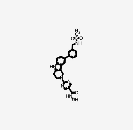 CS(=O)(=O)NCc1cccc(-c2ccc3[nH]c4c(c3c2)CN(c2ncc(C(=O)NO)cn2)CC4)c1